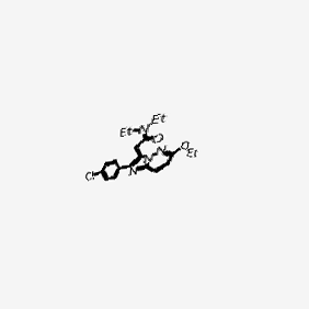 CCOc1ccc2nc(-c3ccc(Cl)cc3)c(CC(=O)N(CC)CC)n2n1